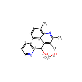 CCc1c(C(F)(F)F)nc2c(C(F)(F)F)cccc2c1C(O)c1ccccn1.O=C(O)O